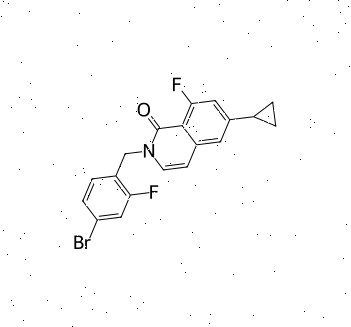 O=c1c2c(F)cc(C3CC3)cc2ccn1Cc1ccc(Br)cc1F